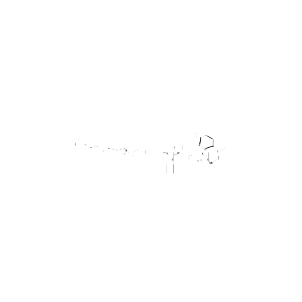 Cc1ccc2c(c1)N(CCOC(=O)NCCOCCOCCCCCCCl)C(C)(C)CC2C